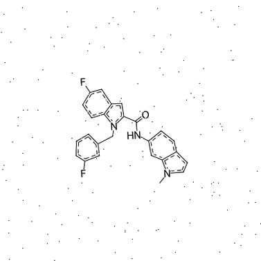 Cn1ccc2ccc(NC(=O)c3cc4cc(F)ccc4n3Cc3cccc(F)c3)cc21